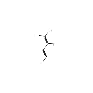 BrC=CC(Br)=C(Br)Br